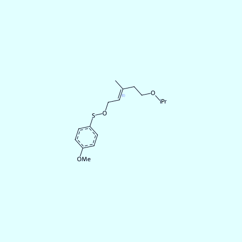 COc1ccc(SOC/C=C(\C)CCOC(C)C)cc1